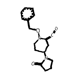 O=C=C1CC(N2CCCC2=O)CCN1OCc1ccccc1